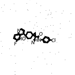 N#CC1(C(=O)Nc2ccc(Cl)cc2)CC12CCC(O)(c1ccnc3ccc(F)cc13)CC2